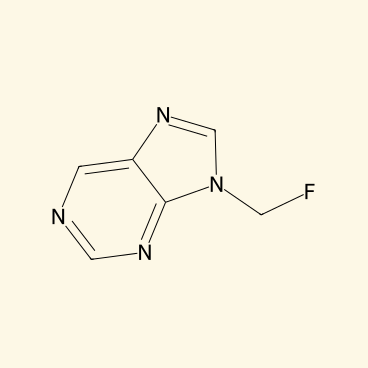 FCn1cnc2cncnc21